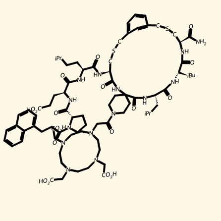 CC[C@H](C)[C@@H]1NC(=O)[C@H](CC(C)C)NC(=O)C2(CCN(C(=O)CN3CCN(CC(=O)O)CCN(CC(=O)O)CCN(CC(=O)O)CC3)CC2)NC(=O)[C@@H](NC(=O)[C@H](CCC(C)C)NC(=O)[C@H](CCC(=O)O)NC(=O)[C@@H]2CCCN2C(=O)CCc2cccc3ccccc23)CSCc2cccc(c2)CSC[C@@H](C(N)=O)NC1=O